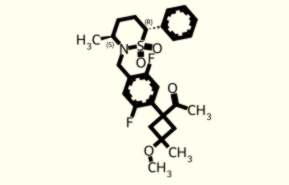 COC1(C)CC(C(C)=O)(c2cc(F)c(CN3[C@@H](C)CC[C@H](c4ccccc4)S3(=O)=O)cc2F)C1